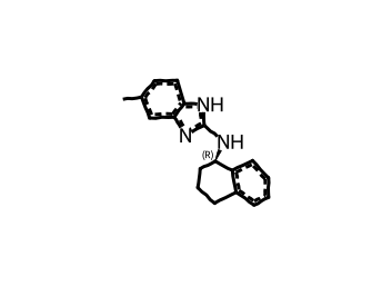 Cc1ccc2[nH]c(N[C@@H]3CCCc4ccccc43)nc2c1